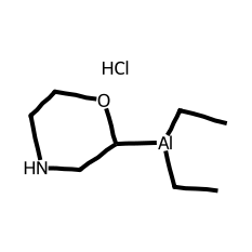 C[CH2][Al]([CH2]C)[CH]1CNCCO1.Cl